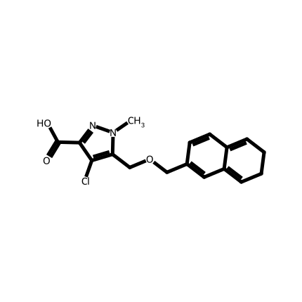 Cn1nc(C(=O)O)c(Cl)c1COCc1ccc2c(c1)=CCCC=2